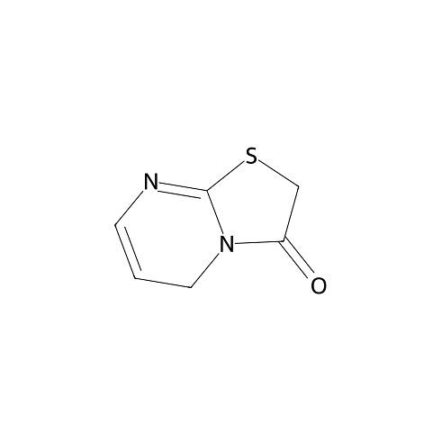 O=C1CSC2=NC=CCN12